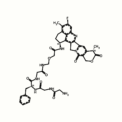 Cc1c(F)cc2nc3c(c4c2c1CC[C@@H]4NC(=O)COCNC(=O)CNC(=O)[C@H](Cc1ccccc1)NC(=O)CNC(=O)CN)Cn1c-3cc2c(c1=O)COC(=O)[C@H]2C